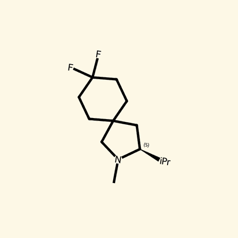 CC(C)[C@@H]1CC2(CCC(F)(F)CC2)CN1C